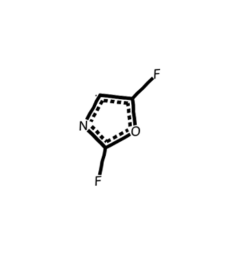 Fc1[c]nc(F)o1